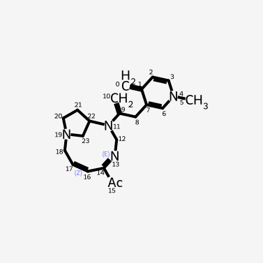 C=C1C=CN(C)C=C1CC(=C)N1C/N=C(C(C)=O)\C=C/CN2CCC1C2